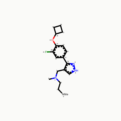 CNCCN(C)Cc1c[nH]nc1-c1ccc(OC2CCC2)c(F)c1